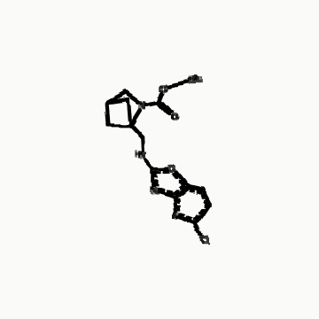 CC(C)(C)OC(=O)N1CC2CC1(CNc1nc3nc(Cl)ccc3o1)C2